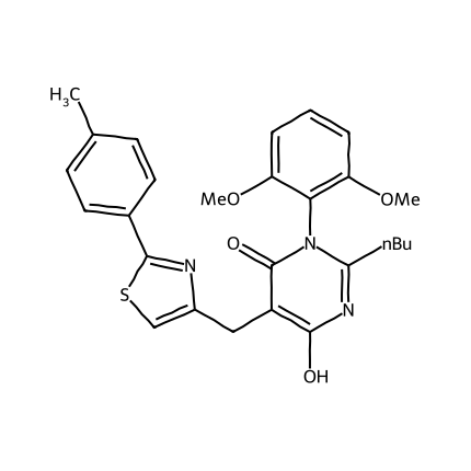 CCCCc1nc(O)c(Cc2csc(-c3ccc(C)cc3)n2)c(=O)n1-c1c(OC)cccc1OC